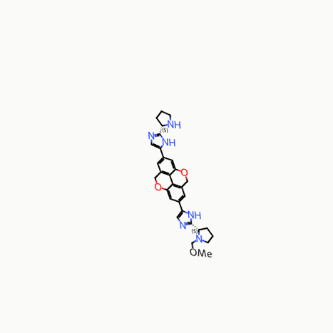 COCN1CCC[C@H]1c1ncc(-c2cc3c4c(c2)OCc2cc(-c5cnc([C@@H]6CCCN6)[nH]5)cc(c2-4)OC3)[nH]1